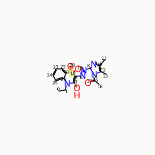 CCN1C(O)=C(N=Nc2nc(C)c(C)n2C(C)=O)S(=O)(=O)c2ccccc21